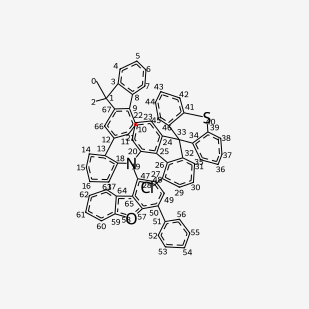 CC1(C)c2ccccc2-c2ccc(-c3ccccc3N(c3cccc4c3-c3c(Cl)cccc3C43c4ccccc4Sc4ccccc43)c3ccc(-c4ccccc4)c4oc5ccccc5c34)cc21